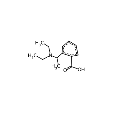 CCN(CC)C(C)c1ccccc1C(=O)O